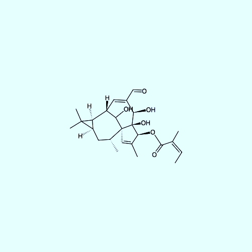 C/C=C(/C)C(=O)O[C@H]1C(C)=C[C@]23C(O)[C@@H](C=C(C=O)[C@@H](O)[C@]12O)[C@H]1[C@@H](C[C@H]3C)C1(C)C